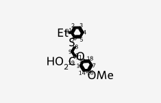 CCc1ccccc1SCCC(Oc1ccc(OC)cc1)C(=O)O